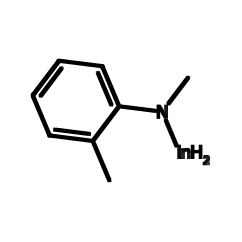 Cc1ccccc1[N](C)[InH2]